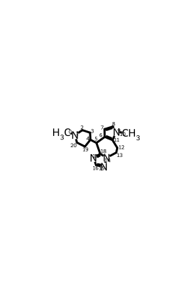 CN1CCC(C2c3ccn(C)c3CCn3ncnc32)CC1